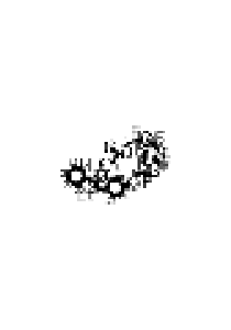 C=CC(=O)OCC(F)(F)OC(F)(F)OC(F)(F)OC(F)(F)COc1ccc2cc(-c3ccccc3CC)oc2c1